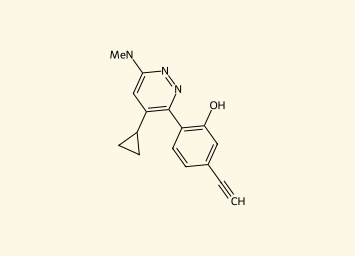 C#Cc1ccc(-c2nnc(NC)cc2C2CC2)c(O)c1